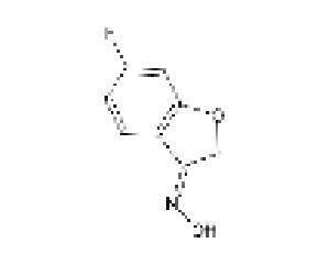 O/N=C1\COc2cc(F)ccc21